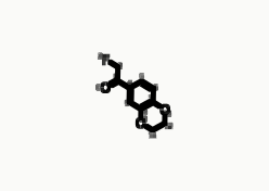 O=C(CF)c1ccc2c(c1)OCCO2